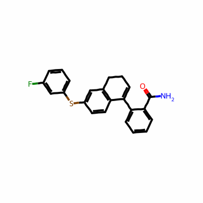 NC(=O)c1ccccc1C1=CCCc2cc(Sc3cccc(F)c3)ccc21